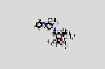 CC1=CC(=NC=C2C=C(C(C)(C)C)C(=O)C(C(C)(C)C)=C2)C=CC1=Nc1ccccc1